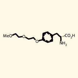 COCCOCCOc1ccc(C[C@@H](N)C(=O)O)cc1